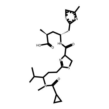 Cc1csc(C[C@@H](C[C@H](C)C(=O)O)NC(=O)C2CSC(CCC(C(C)C)N(C)C(=O)C3CC3)=N2)n1